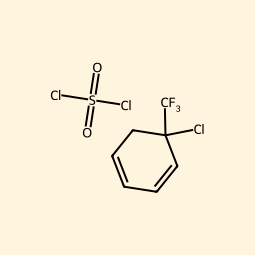 FC(F)(F)C1(Cl)C=CC=CC1.O=S(=O)(Cl)Cl